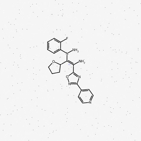 N/C(=C(/C1CCCO1)N(N)c1ccccc1F)c1nc(-c2ccncc2)no1